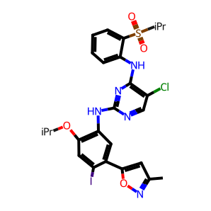 Cc1cc(-c2cc(Nc3ncc(Cl)c(Nc4ccccc4S(=O)(=O)C(C)C)n3)c(OC(C)C)cc2I)on1